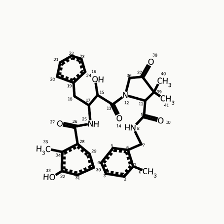 Cc1ccccc1CNC(=O)C1N(C(=O)C(O)C(Cc2ccccc2)NC(=O)c2cccc(O)c2C)CC(=O)C1(C)C